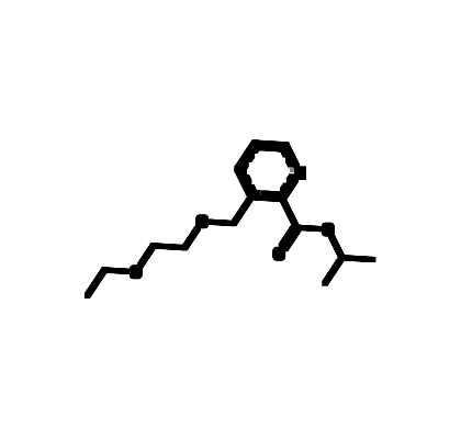 CCOCCOCc1cccnc1C(=O)OC(C)C